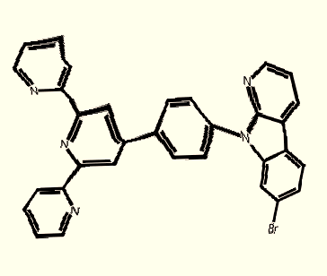 Brc1ccc2c3cccnc3n(-c3ccc(-c4cc(-c5ccccn5)nc(-c5ccccn5)c4)cc3)c2c1